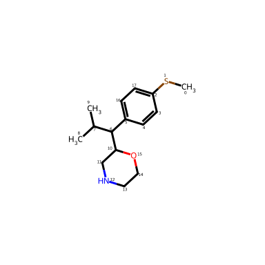 CSc1ccc(C(C(C)C)C2CNCCO2)cc1